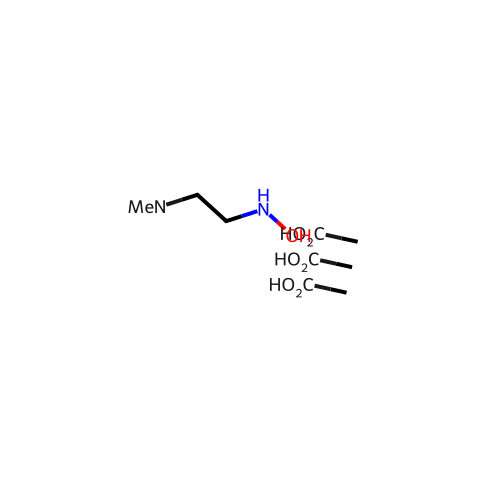 CC(=O)O.CC(=O)O.CC(=O)O.CNCCNO